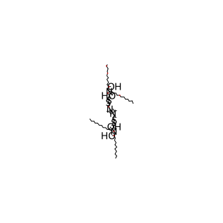 CCCCCCCCCCC(O)CN(CCCSSCCN1CC(C)N(CCSSCCCN(CC(O)CCCCCCCCCC)CC(O)CCCCCCCCCC)CC1C)CC(O)CCCCCCCCCC